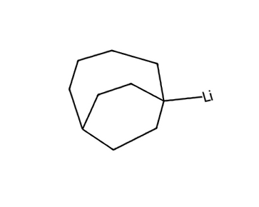 [Li][C]12CCCCC(CC1)CC2